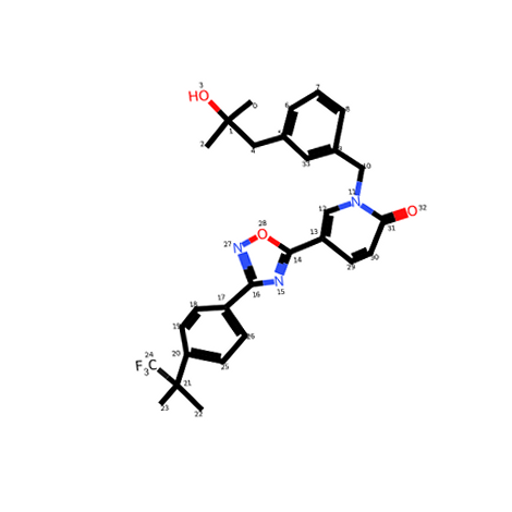 CC(C)(O)Cc1cccc(Cn2cc(-c3nc(-c4ccc(C(C)(C)C(F)(F)F)cc4)no3)ccc2=O)c1